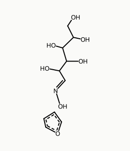 OCC(O)C(O)C(O)C(O)C=NO.c1ccoc1